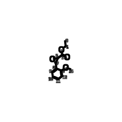 CCOC(=O)C1OC1c1ccccc1OC